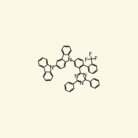 FC(F)(F)c1ccccc1-c1ccc(-n2c3ccccc3c3cc(-n4c5ccccc5c5ccccc54)ccc32)cc1-c1nc(-c2ccccc2)nc(-c2ccccc2)n1